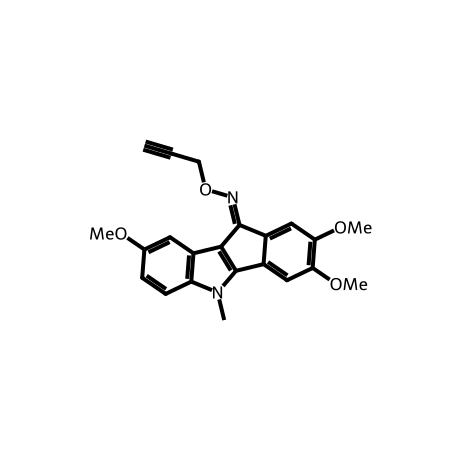 C#CCON=C1c2cc(OC)c(OC)cc2-c2c1c1cc(OC)ccc1n2C